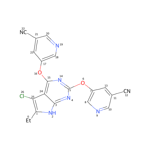 CCc1[nH]c2nc(Oc3cncc(C#N)c3)nc(Oc3cncc(C#N)c3)c2c1Cl